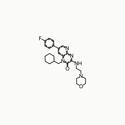 O=c1c(NCCN2CCOCC2)nc2ncc(-c3ccc(F)cc3)cc2n1CC1CCCCC1